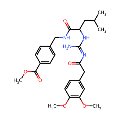 COC(=O)c1ccc(CNC(=O)C(CC(C)C)NC(N)=NC(=O)Cc2ccc(OC)c(OC)c2)cc1